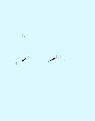 N[C@@H](CC1CCCCC1)[C@@H](O)c1ccccn1